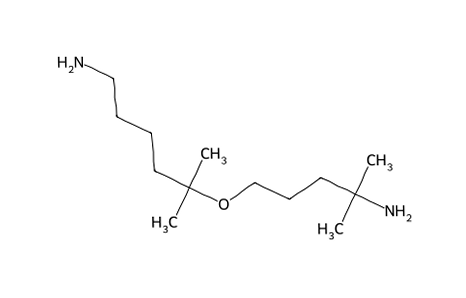 CC(C)(N)CCCOC(C)(C)CCCCN